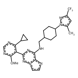 COc1ncnc(C2CC2)c1-c1nc(NCC2CCC(n3nc(C(F)(F)F)cc3C)CC2)c2nccn2n1